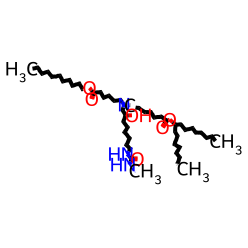 CCCCCCCCCCCOC(=O)CCCCCN(CCCCCCCC(=O)OC(CCCCCCCC)CCCCCCCC)CC(O)CCCCCCNC(=O)NC